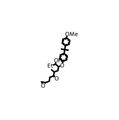 CCC(O)C(CC(C)C(=O)CCC1CO1)Oc1ccc(C(C)(C)c2ccc(OC)cc2)cc1